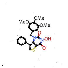 COc1cc(Cn2c(=O)n(O)c(=O)c3scc(-c4ccccc4)c32)cc(OC)c1OC